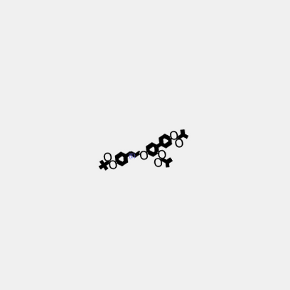 C=C(C)C(=O)Oc1ccc(-c2ccc(OC/C=C/c3ccc(OC(=O)C(C)(C)C)cc3)cc2OC(=O)C(=C)C)cc1